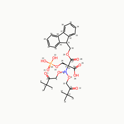 CC(C)(C)C(=O)CON(OCC(=O)C(C)(C)C)[C@@](COP(=O)(O)O)(C(=O)O)C(=O)OCC1c2ccccc2-c2ccccc21